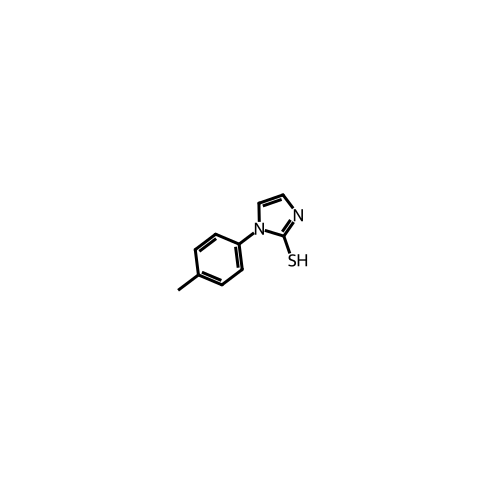 Cc1ccc(-n2ccnc2S)cc1